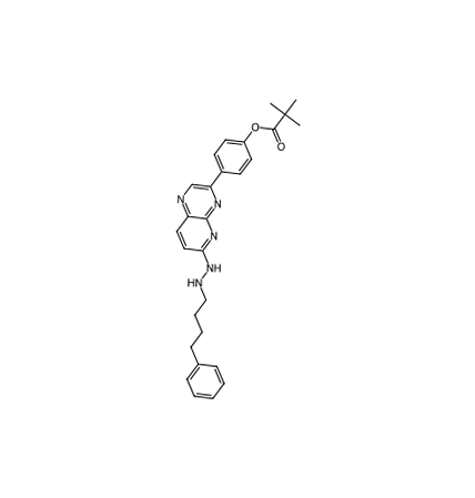 CC(C)(C)C(=O)Oc1ccc(-c2cnc3ccc(NNCCCCc4ccccc4)nc3n2)cc1